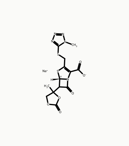 Cn1nnnc1SCC1=C(C(=O)[O-])N2C(=O)C(C3(C)COC(=O)O3)[C@@H]2S1.[Na+]